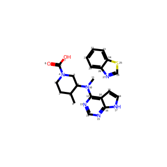 CC1CCN(C(=O)O)CC1N(C)c1ncnc2[nH]ccc12.c1ccc2scnc2c1